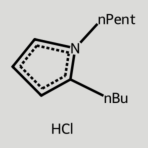 CCCCCn1cccc1CCCC.Cl